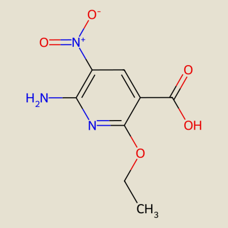 CCOc1nc(N)c([N+](=O)[O-])cc1C(=O)O